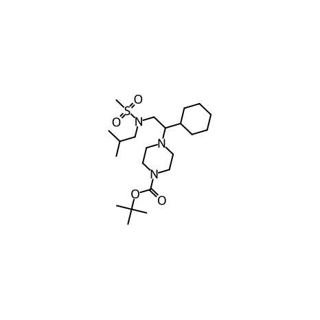 CC(C)CN(CC(C1CCCCC1)N1CCN(C(=O)OC(C)(C)C)CC1)S(C)(=O)=O